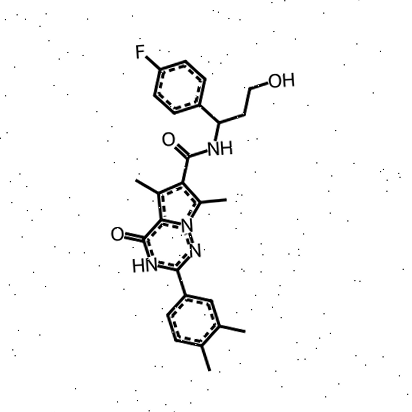 Cc1ccc(-c2nn3c(C)c(C(=O)NC(CCO)c4ccc(F)cc4)c(C)c3c(=O)[nH]2)cc1C